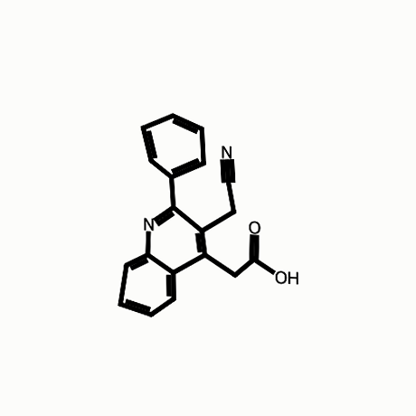 N#CCc1c(-c2ccccc2)nc2ccccc2c1CC(=O)O